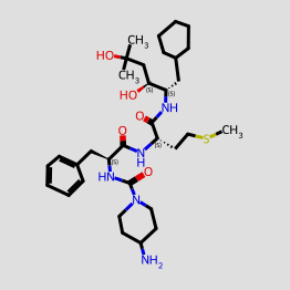 CSCC[C@H](NC(=O)[C@H](Cc1ccccc1)NC(=O)N1CCC(N)CC1)C(=O)N[C@@H](CC1CCCCC1)[C@@H](O)CC(C)(C)O